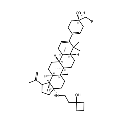 C=C(C)C1CC[C@]2(NCCC3(O)CCC3)CC[C@]3(C)[C@H](CC[C@@H]4[C@@]5(C)CC=C(C6=CC[C@](CF)(C(=O)O)CC6)C(C)(C)[C@@H]5CC[C@]43C)[C@@H]12